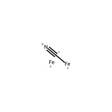 N#[C][Fe].[Fe]